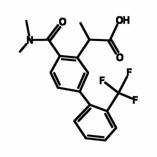 CC(C(=O)O)c1cc(-c2ccccc2C(F)(F)F)ccc1C(=O)N(C)C